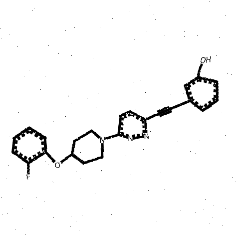 Oc1cccc(C#Cc2ccc(N3CCC(Oc4ccccc4F)CC3)nn2)c1